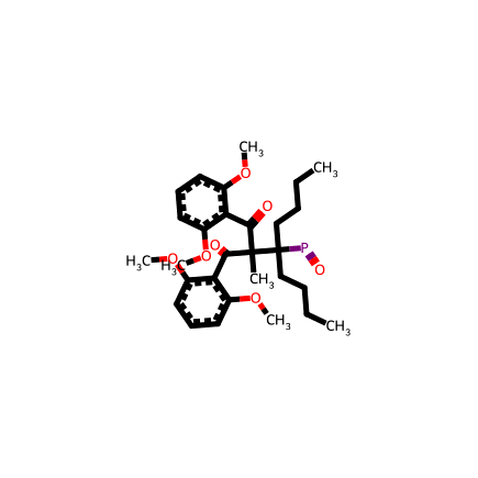 CCCCC(CCCC)(P=O)C(C)(C(=O)c1c(OC)cccc1OC)C(=O)c1c(OC)cccc1OC